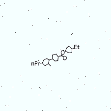 CCCC1CCC(C2CCC(C(=O)OC3CCC(CC)CC3)CC2)C(C)C1